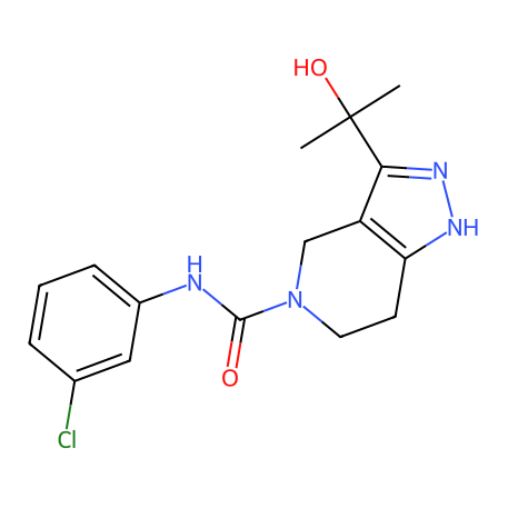 CC(C)(O)c1n[nH]c2c1CN(C(=O)Nc1cccc(Cl)c1)CC2